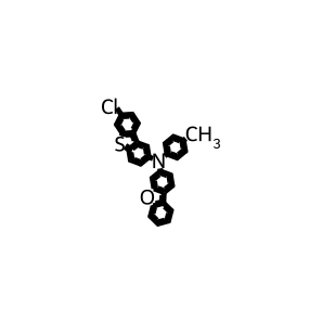 Cc1ccc(N(c2ccc3c(c2)oc2ccccc23)c2ccc3sc4cc(Cl)ccc4c3c2)cc1